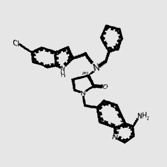 Nc1ccnc2cc(CN3CC[C@@H](N(Cc4ccccc4)Cc4cc5cc(Cl)ccc5[nH]4)C3=O)ccc12